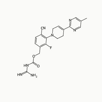 Cc1cnc(C2=CCN(c3c(C#N)ccc(COC(=O)NC(=N)N)c3F)CC2)nc1